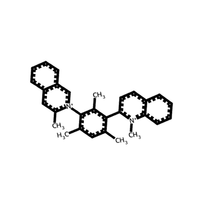 Cc1cc(C)c(-[n+]2cc3ccccc3cc2C)c(C)c1-c1ccc2ccccc2[n+]1C